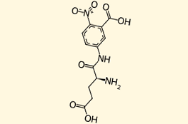 N[C@@H](CCC(=O)O)C(=O)Nc1ccc([N+](=O)[O-])c(C(=O)O)c1